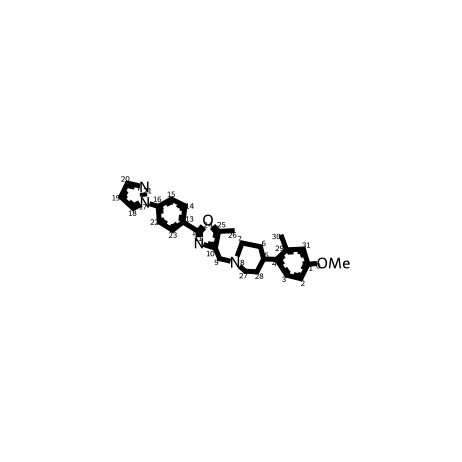 COc1ccc(C2CCN(Cc3nc(-c4ccc(-n5cccn5)cc4)oc3C)CC2)c(C)c1